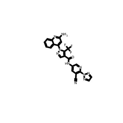 N#Cc1cc(NC(=O)c2cnn(-c3cc(N)nc4ccccc34)c2C(F)(F)F)cnc1-n1nccn1